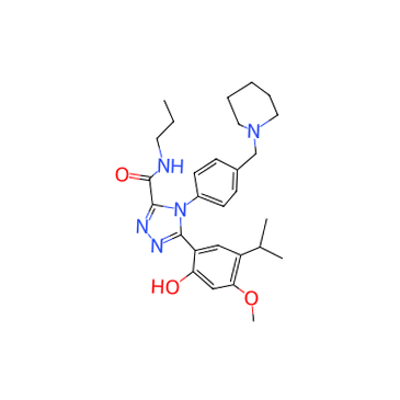 CCCNC(=O)c1nnc(-c2cc(C(C)C)c(OC)cc2O)n1-c1ccc(CN2CCCCC2)cc1